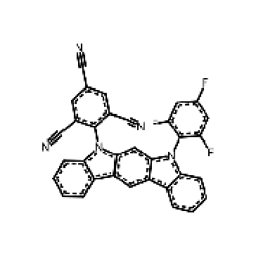 N#Cc1cc(C#N)c(-n2c3ccccc3c3cc4c5ccccc5n(-c5c(F)cc(F)cc5F)c4cc32)c(C#N)c1